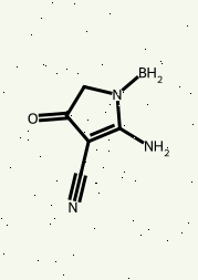 BN1CC(=O)C(C#N)=C1N